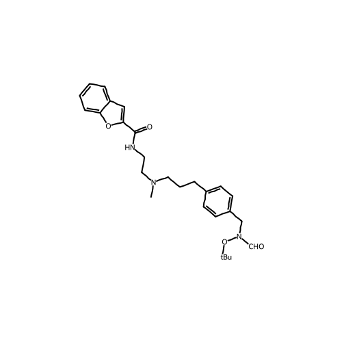 CN(CCCc1ccc(CN(C=O)OC(C)(C)C)cc1)CCNC(=O)c1cc2ccccc2o1